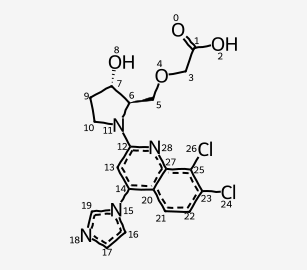 O=C(O)COC[C@@H]1[C@@H](O)CCN1c1cc(-n2ccnc2)c2ccc(Cl)c(Cl)c2n1